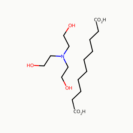 O=C(O)CCCCCCCCC(=O)O.OCCN(CCO)CCO